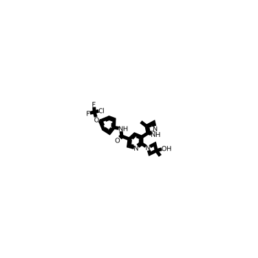 Cc1cn[nH]c1-c1cc(C(=O)Nc2ccc(OC(F)(F)Cl)cc2)cnc1N1CC(C)(O)C1